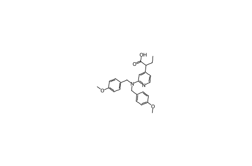 CCC(C(=O)O)c1ccnc(N(Cc2ccc(OC)cc2)Cc2ccc(OC)cc2)c1